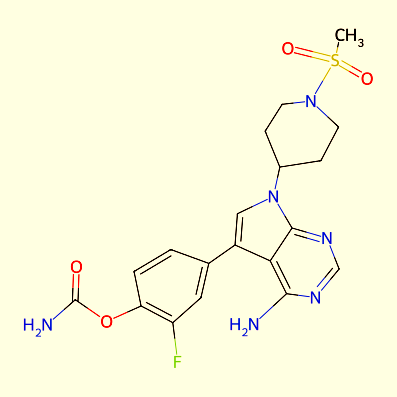 CS(=O)(=O)N1CCC(n2cc(-c3ccc(OC(N)=O)c(F)c3)c3c(N)ncnc32)CC1